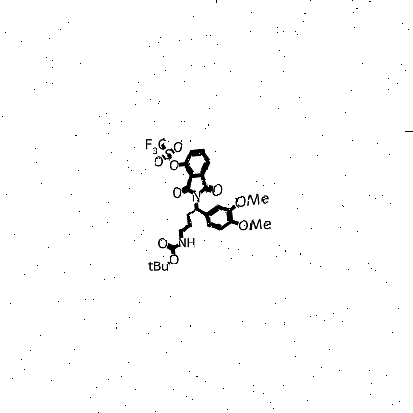 COc1ccc([C@@H](CCCNC(=O)OC(C)(C)C)N2C(=O)c3cccc(OS(=O)(=O)C(F)(F)F)c3C2=O)cc1OC